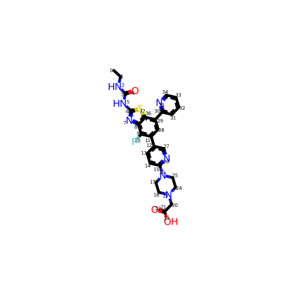 CCNC(=O)Nc1nc2c(F)c(-c3ccc(N4CCN(CC(=O)O)CC4)nc3)cc(-c3ccccn3)c2s1